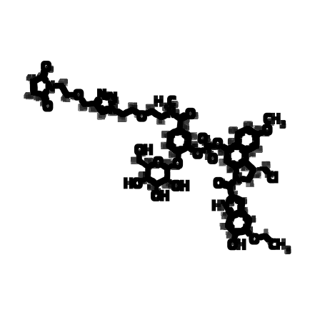 CCOc1cc2cc(C(=O)N3C[C@@H](CCl)c4c3cc(OS(=O)(=O)Oc3cc(C(=O)N(C)CCOCCn5cc(COCCN6C(=O)C=CC6=O)nn5)ccc3O[C@@H]3O[C@H](CO)[C@H](O)[C@H](O)[C@H]3O)c3ccc(OC)cc43)[nH]c2cc1O